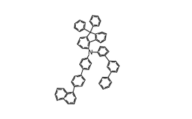 c1ccc(-c2cccc(-c3cccc(N(c4ccc(-c5ccc(-c6cccc7ccccc67)cc5)cc4)c4cccc5c4-c4ccccc4C5(c4ccccc4)c4ccccc4)c3)c2)cc1